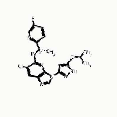 CC(C)Oc1cc(-n2cnc3cc(Cl)c(N[C@@H](C)c4ccc(F)cn4)nc32)n[nH]1